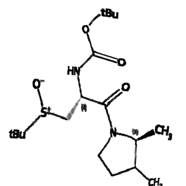 CC1CCN(C(=O)[C@H](C[S+]([O-])C(C)(C)C)NC(=O)OC(C)(C)C)[C@H]1C